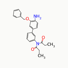 CCC(=O)N(C(=O)CC)c1cccc(-c2ccc(N)c(OCc3ccccc3)c2)c1